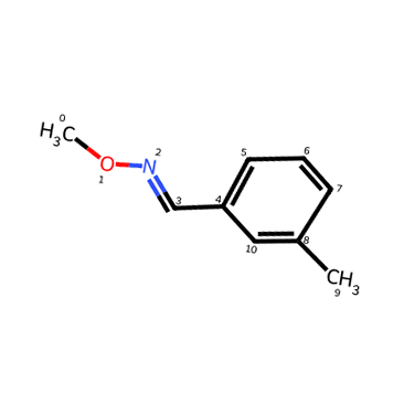 CON=Cc1cc[c]c(C)c1